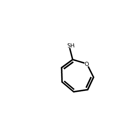 SC1=CC=CC=CO1